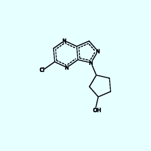 OC1CCC(n2ncc3ncc(Cl)nc32)C1